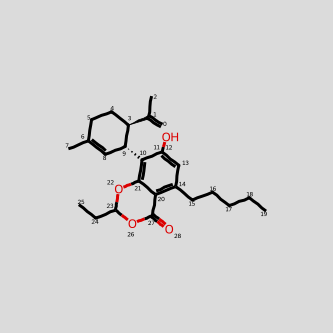 C=C(C)[C@@H]1CCC(C)=C[C@H]1c1c(O)cc(CCCCC)c2c1OC(CC)OC2=O